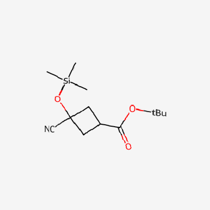 CC(C)(C)OC(=O)C1CC(C#N)(O[Si](C)(C)C)C1